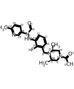 CC(=O)N1C[C@@H](C)N(Cc2cccc(NN(C=O)c3ccc(C)nc3)c2F)[C@@H](C)C1